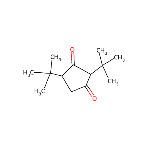 CC(C)(C)C1CC(=O)C(C(C)(C)C)C1=O